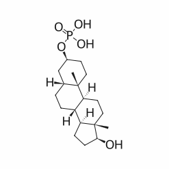 C[C@]12CC[C@H](OP(=O)(O)O)C[C@H]1CC[C@@H]1[C@@H]2CC[C@]2(C)[C@@H](O)CC[C@@H]12